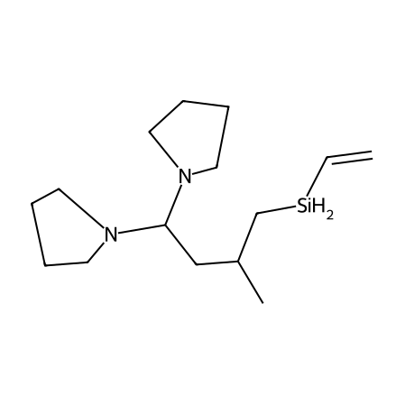 C=C[SiH2]CC(C)CC(N1CCCC1)N1CCCC1